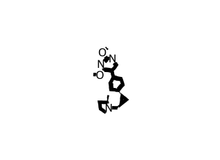 COc1ncc(-c2ccc([C@@H]3C[C@H]3CN3CCC[C@H]3C)cc2)c(OC)n1